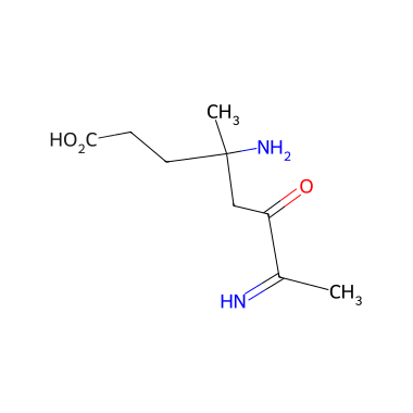 CC(=N)C(=O)CC(C)(N)CCC(=O)O